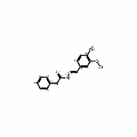 CCOc1cc(/C=N/NC(=O)Cc2ccccc2)ccc1O